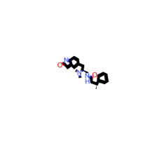 C[C@H](CC(=O)NC[C@H](Cc1ccc2c(c1)=CC(=O)N=2)N(C)C)c1ccccc1